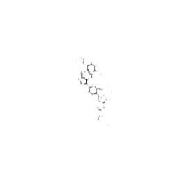 CCCc1ccc(=O)n(Cc2c(-c3ccc(N4CCC(CC(=O)OCC)C4)c(C)n3)nnn2C)c1